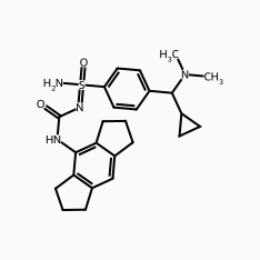 CN(C)C(c1ccc(S(N)(=O)=NC(=O)Nc2c3c(cc4c2CCC4)CCC3)cc1)C1CC1